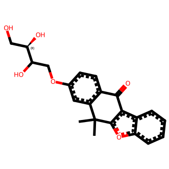 CC1(C)c2cc(OCC(O)[C@H](O)CO)ccc2C(=O)c2c1oc1ccccc21